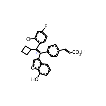 O=C(O)C=Cc1ccc(/C(=C(\c2ccc(F)cc2Cl)C2CCC2)c2coc3c(O)cccc23)cc1